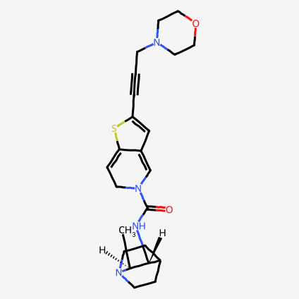 C[C@H]1[C@H](NC(=O)N2C=c3cc(C#CCN4CCOCC4)sc3=CC2)C2CCN1CC2